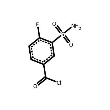 NS(=O)(=O)c1cc(C(=O)Cl)ccc1F